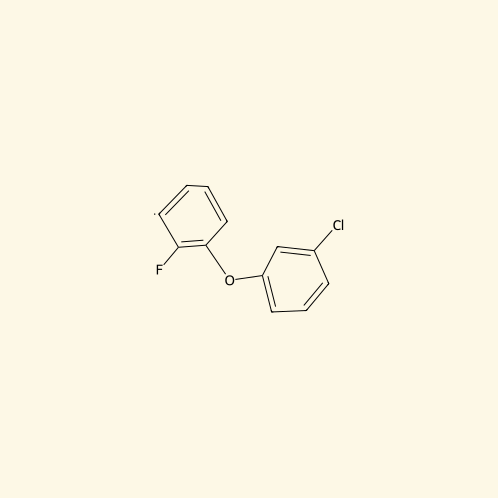 Fc1[c]cccc1Oc1cccc(Cl)c1